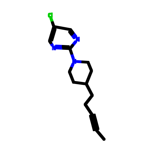 CC#CCCC1CCN(c2ncc(Cl)cn2)CC1